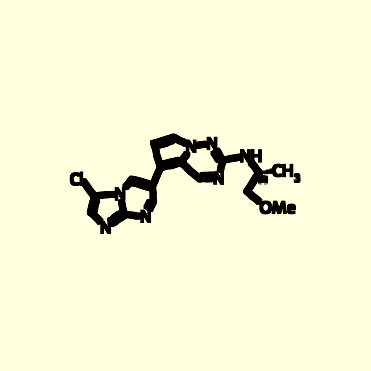 COC[C@@H](C)Nc1ncc2c(-c3cnc4ncc(Cl)n4c3)ccn2n1